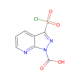 O=C(O)n1nc(S(=O)(=O)Cl)c2cccnc21